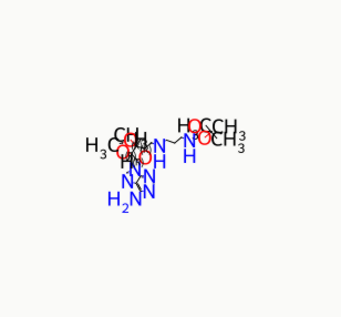 CC(C)(C)OC(=O)NCCCNC[C@H]1O[C@@H](n2cnc3c(N)ncnc32)[C@@H]2OC(C)(C)O[C@@H]21